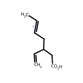 C=CC(C/C=C/C)CC(=O)O